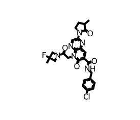 CC1CCN(c2cnc3c(cc(C(=O)NCc4ccc(Cl)cc4)c(=O)n3CC(=O)N3CC(C)(F)C3)n2)C1=O